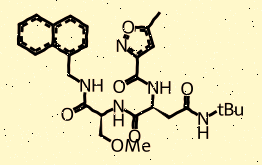 COC[C@H](NC(=O)[C@H](CC(=O)NC(C)(C)C)NC(=O)c1cc(C)on1)C(=O)NCc1cccc2ccccc12